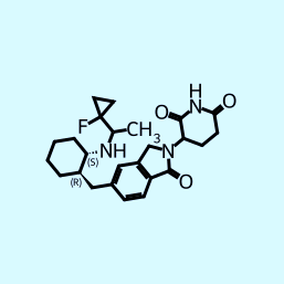 CC(N[C@H]1CCCC[C@@H]1Cc1ccc2c(c1)CN(C1CCC(=O)NC1=O)C2=O)C1(F)CC1